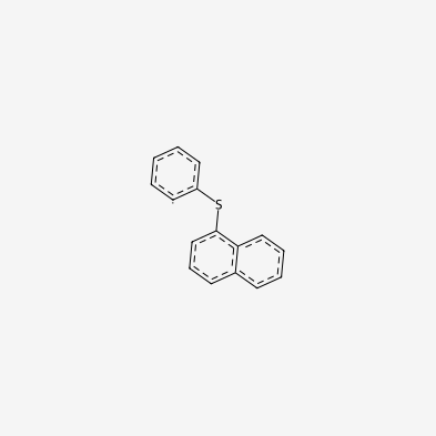 [c]1ccccc1Sc1cccc2ccccc12